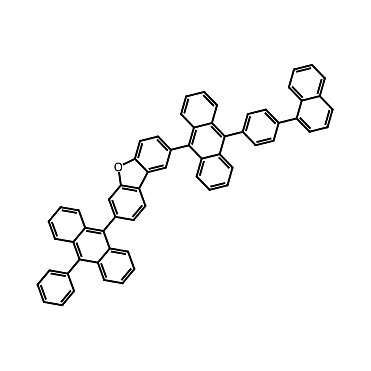 c1ccc(-c2c3ccccc3c(-c3ccc4c(c3)oc3ccc(-c5c6ccccc6c(-c6ccc(-c7cccc8ccccc78)cc6)c6ccccc56)cc34)c3ccccc23)cc1